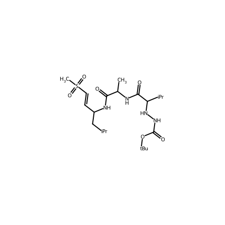 CC(C)CC(C=CS(C)(=O)=O)NC(=O)C(C)NC(=O)C(NNC(=O)OC(C)(C)C)C(C)C